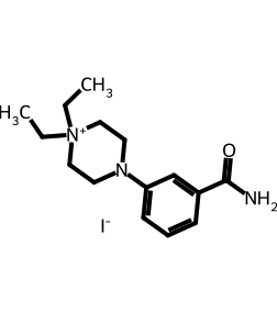 CC[N+]1(CC)CCN(c2cccc(C(N)=O)c2)CC1.[I-]